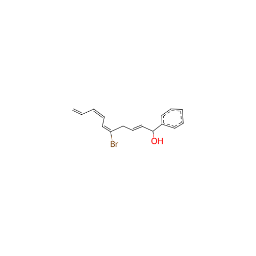 C=C/C=C\C=C(\Br)C/C=C/C(O)c1ccccc1